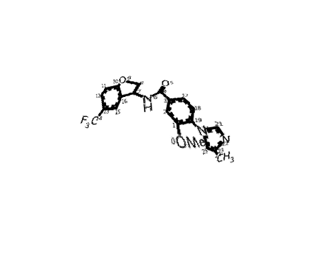 COc1cc(C(=O)NC2COc3ccc(C(F)(F)F)cc32)ccc1-n1cnc(C)c1